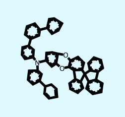 C1=CCC(c2cccc(N(c3cccc(-c4cccc(-c5ccccc5)c4)c3)c3ccc4c(c3)Oc3c(ccc5c3-c3ccccc3C53c5ccccc5-c5ccccc53)O4)c2)C=C1